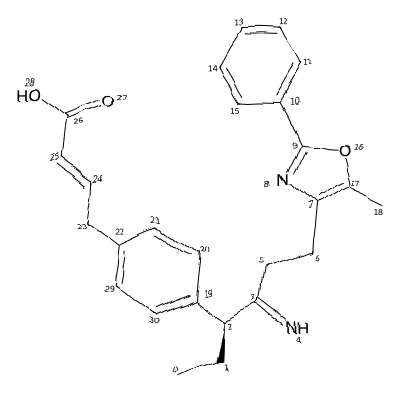 CC[C@H](C(=N)CCc1nc(-c2ccccc2)oc1C)c1ccc(C/C=C/C(=O)O)cc1